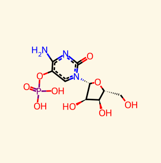 Nc1nc(=O)n([C@@H]2O[C@H](CO)[C@@H](O)[C@H]2O)cc1OP(=O)(O)O